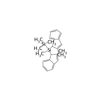 CC1=Cc2ccccc2C1[Si](C)(C1C(C)=Cc2ccccc21)[Si](C)(C)C